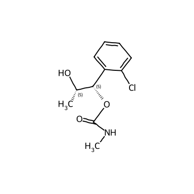 CNC(=O)O[C@@H](c1ccccc1Cl)[C@H](C)O